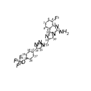 Nc1nc2c(F)cccc2c2nc(Cn3cc(-c4ccc(OC(F)(F)F)cc4)nn3)cn12